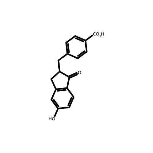 O=C(O)c1ccc(CC2Cc3cc(O)ccc3C2=O)cc1